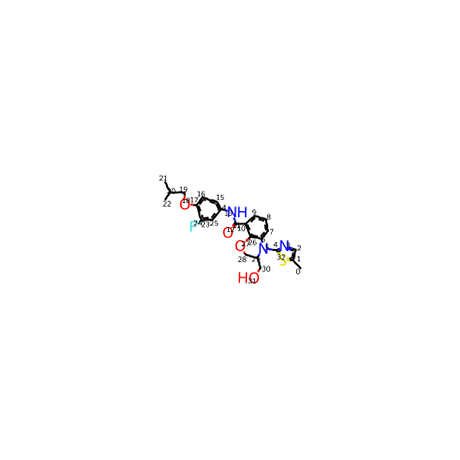 Cc1cnc(N2c3cccc(C(=O)Nc4ccc(OCC(C)C)c(F)c4)c3OCC2CO)s1